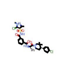 CC1=NN(C)C(Cl)C1S(=O)(=O)NC(=O)c1cccc(C(=O)N[C@@H](C(=O)N2CC[C@H](c3ccc(Cl)cc3)C(C)(C)C2)C(C)C)c1